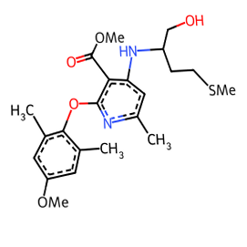 COC(=O)c1c(NC(CO)CCSC)cc(C)nc1Oc1c(C)cc(OC)cc1C